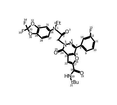 CCN(C(=O)Cn1nc(-c2cccc(F)c2)c2oc(C(=O)NC(C)(C)C)cc2c1=O)c1ccc2c(c1)OC(F)(F)O2